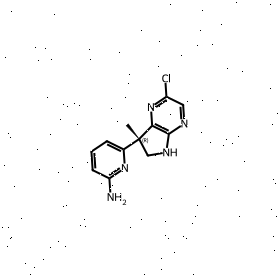 C[C@]1(c2cccc(N)n2)CNc2ncc(Cl)nc21